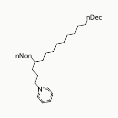 CCCCCCCCCCCCCCCCCCCC(CCCCCCCCC)CCC[n+]1ccccc1